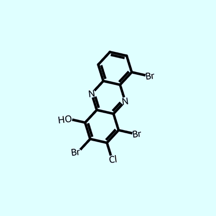 Oc1c(Br)c(Cl)c(Br)c2nc3c(Br)cccc3nc12